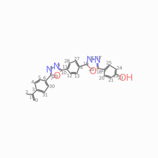 C=C(C)c1ccc(-c2nnc(-c3ccc(-c4nnc(-c5ccc(O)cc5)o4)cc3)o2)cc1